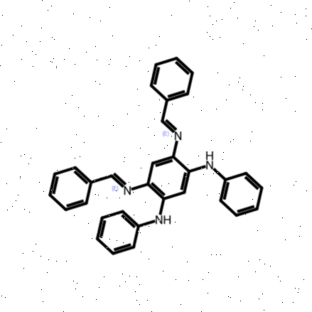 C(=N\c1cc(/N=C/c2ccccc2)c(Nc2ccccc2)cc1Nc1ccccc1)/c1ccccc1